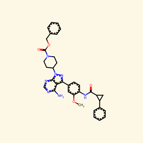 COc1cc(-c2nn(C3CCN(C(=O)OCc4ccccc4)CC3)c3ncnc(N)c23)ccc1NC(=O)C1CC1c1ccccc1